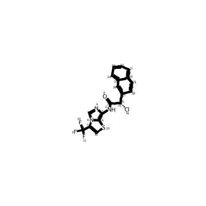 O=C(Nc1ncn2c(C(F)(F)F)csc12)[C@@H](Cl)c1ccc2ccccc2c1